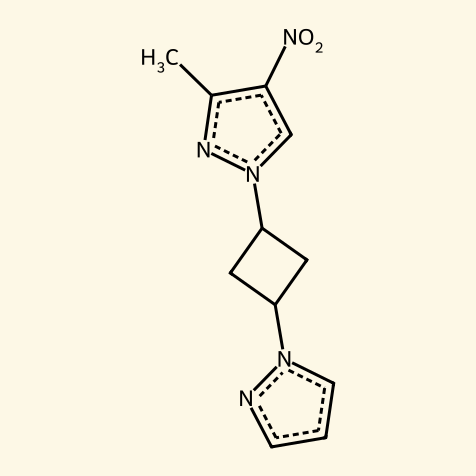 Cc1nn(C2CC(n3cccn3)C2)cc1[N+](=O)[O-]